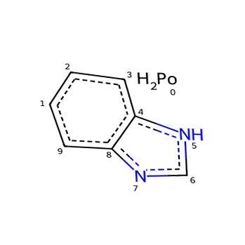 [PoH2].c1ccc2[nH]cnc2c1